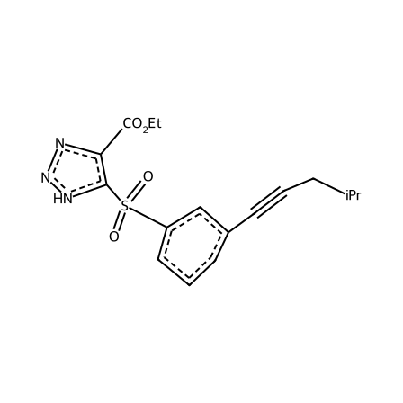 CCOC(=O)c1nn[nH]c1S(=O)(=O)c1cccc(C#CCC(C)C)c1